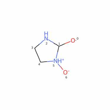 [O]C1NCC[NH+]1[O-]